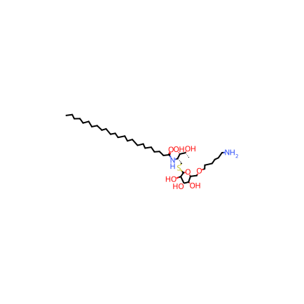 CCCCCCCCCCCCCCCCCCCCCCCC(=O)N[C@@H](CSC1OC(COCCCCCCN)C(O)C(O)C1O)[C@H](O)[C@@H](C)O